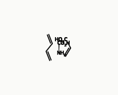 C=CC(=O)O.C=CC=C.NC(=O)O